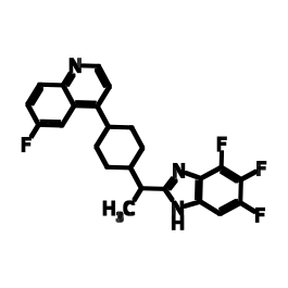 CC(c1nc2c(F)c(F)c(F)cc2[nH]1)C1CCC(c2ccnc3ccc(F)cc23)CC1